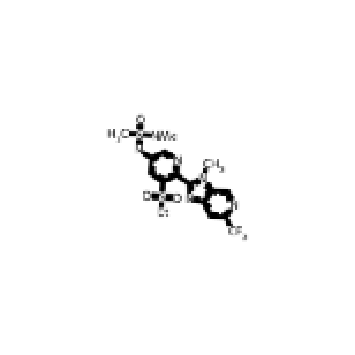 CCS(=O)(=O)c1cc(N=S(C)(=O)NC)cnc1-c1nc2cc(C(F)(F)F)ncc2n1C